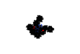 c1ccc(-c2ccc(-c3nc(-c4cccc(-c5ccccc5)c4)nc(-n4c5c(-c6ccccc6)cccc5c5ccc6c7ccccc7oc6c54)n3)cc2)cc1